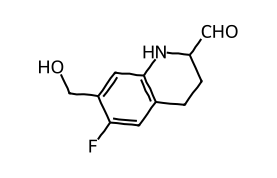 O=CC1CCc2cc(F)c(CO)cc2N1